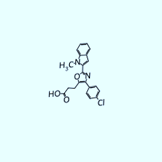 Cn1c(-c2nc(-c3ccc(Cl)cc3)c(CCC(=O)O)o2)cc2ccccc21